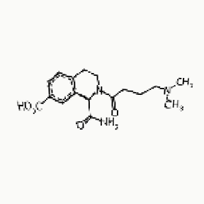 CN(C)CCCC(=O)N1CCc2ccc(C(=O)O)cc2C1C(N)=O